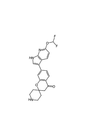 O=C1CC2(CCNCC2)Oc2cc(-c3c[nH]c4nc(OC(F)F)ccc34)ccc21